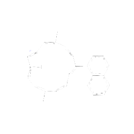 CC1=C/C=C(I)/C=C/C=C(C)\C=C/C(c2cccc3ccccc23)=I/C=C\1